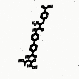 C[C@@H](O)[C@H](NC(=O)c1ccc(-c2ccc(NC(=O)[C@@H](N)Cc3ccc(C(=O)O)cc3)cc2)cc1)C(=O)NO